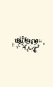 Cc1ccc2snc(C)c2c1C(C)Cc1nn(C(C)C)c2c(C(C)(C)C)c(C)ccc12